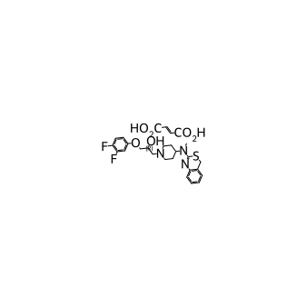 CN(C1=Nc2ccccc2CS1)C1CCN(C[C@@H](O)COc2ccc(F)c(F)c2)CC1.O=C(O)C=CC(=O)O